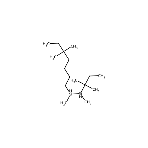 CCC(C)(C)CCCC[SiH](C)[SiH](C)C(C)(C)CC